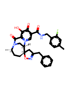 Cc1ccc(CNC(=O)c2cn3c(c(O)c2=O)C(=O)N2C[C@@H]3[C@]3(CC[C@@H]2C)CC(Cc2ccccc2)=NO3)c(F)c1